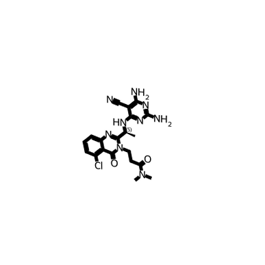 C[C@H](Nc1nc(N)nc(N)c1C#N)c1nc2cccc(Cl)c2c(=O)n1CCC(=O)N(C)C